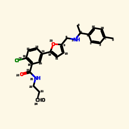 Cc1ccc(C(C)NCc2ccc(-c3ccc(Cl)c(C(=O)NCCC=O)c3)o2)cc1